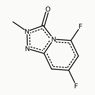 Cn1nc2cc(F)cc(F)n2c1=O